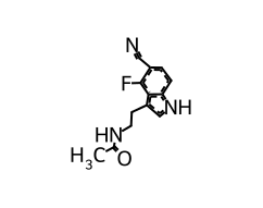 CC(=O)NCCc1c[nH]c2ccc(C#N)c(F)c12